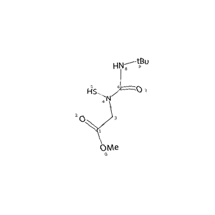 COC(=O)CN(S)C(=O)NC(C)(C)C